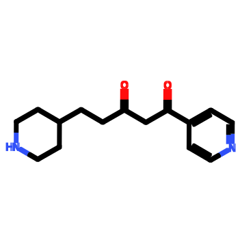 O=C(CCC1CCNCC1)CC(=O)c1ccncc1